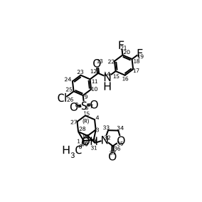 C[C@H]1CC2C[C@@H](S(=O)(=O)c3cc(C(=O)Nc4ccc(F)c(F)c4)ccc3Cl)CC1[C@@]2(O)CN1CCOC1=O